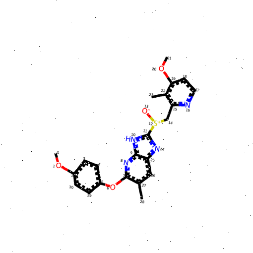 COc1ccc(Oc2nc3[nH]c([S+]([O-])Cc4nccc(OC)c4C)nc3cc2C)cc1